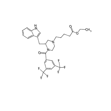 CCOC(=O)CCCCN1CCN(C(=O)c2cc(C(F)(F)F)cc(C(F)(F)F)c2)C(Cc2c[nH]c3ccccc23)C1